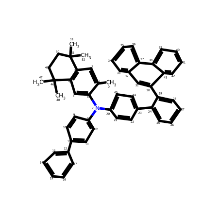 Cc1cc2c(cc1N(c1ccc(-c3ccccc3)cc1)c1ccc(-c3ccccc3-c3cc4ccccc4c4ccccc34)cc1)C(C)(C)CCC2(C)C